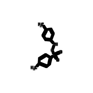 Cc1ccc(S(=O)(=O)OPc2ccc(C(F)(F)F)cc2)cc1